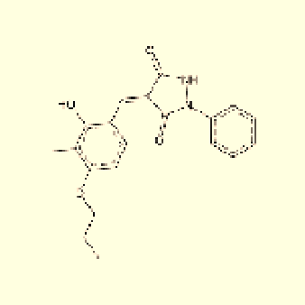 CCCOc1ccc(C=C2C(=O)NN(c3ccccc3)C2=O)c(O)c1C